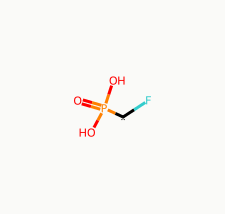 O=P(O)(O)[C]F